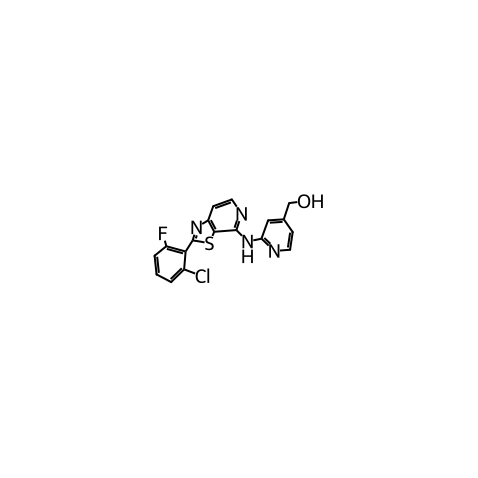 OCc1ccnc(Nc2nccc3nc(-c4c(F)cccc4Cl)sc23)c1